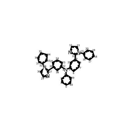 c1ccc(N(c2cccc(-c3nccn3-c3ccccc3)c2)c2cccc(-c3nccn3-c3ccccc3)c2)cc1